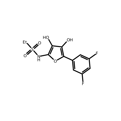 CCS(=O)(=O)Nc1oc(-c2cc(F)cc(F)c2)c(O)c1O